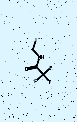 O=C(NCI)C(F)(F)F